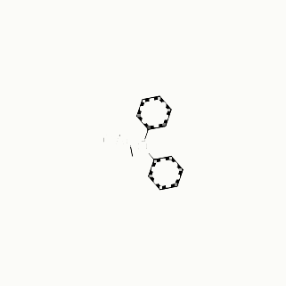 COC(C)=O.c1ccc(Oc2ccccc2)cc1